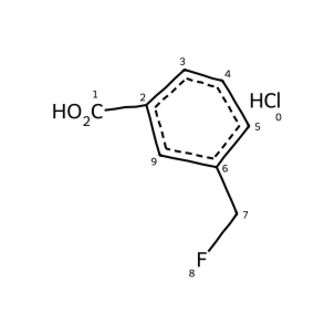 Cl.O=C(O)c1cccc(CF)c1